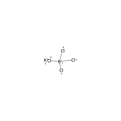 Cl[B-](Cl)(Cl)Cl.[K+]